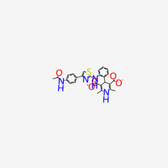 COC(=O)C1=C(C)NC(C)=C(C(=O)OC)C1c1ccccc1Nc1nc(-c2ccc(NC(C)=O)cc2)cs1